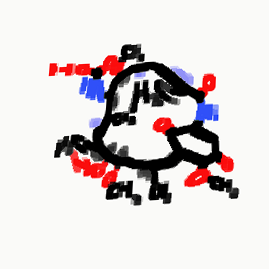 COC1=C2C[C@@H](C)C[C@H](OC)[C@H](O)[C@@H](C)/C=C(\C)[C@H](NC(=O)O)[C@@H](OC)/C=C\C=C(/C)C(=O)NC(=CC1=O)C2=O